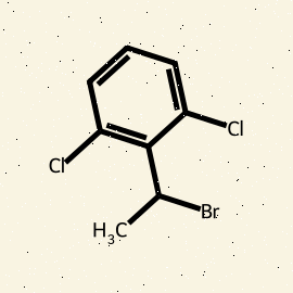 CC(Br)c1c(Cl)cccc1Cl